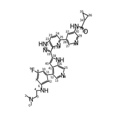 CN(C)CCNc1cc(F)cc(-c2cncc3[nH]c(-c4n[nH]c5ccc(-c6cncc(NC(=O)C7CC7)c6)nc45)cc23)c1